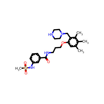 Cc1cc(OCCCNC(=O)c2cccc(NS(C)(=O)=O)c2)c(CN2CCNCC2)c(C)c1C